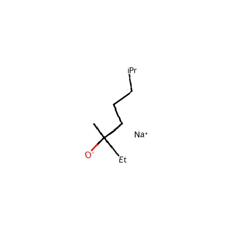 CCC(C)([O-])CCCC(C)C.[Na+]